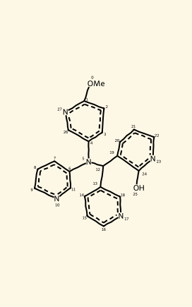 COc1ccc(N(c2cccnc2)C(c2cccnc2)c2cccnc2O)cn1